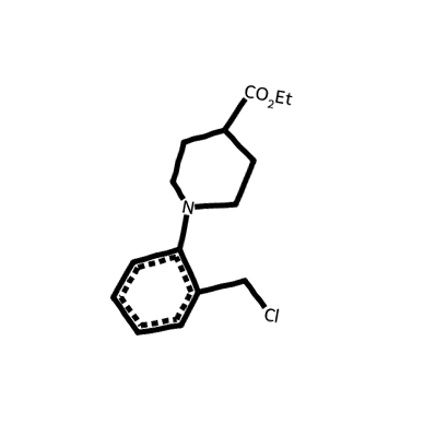 CCOC(=O)C1CCN(c2ccccc2CCl)CC1